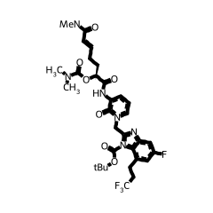 CNC(=O)/C=C/CC[C@H](OC(=O)N(C)C)C(=O)Nc1cccn(Cc2nc3cc(F)cc(CCC(F)(F)F)c3n2C(=O)OC(C)(C)C)c1=O